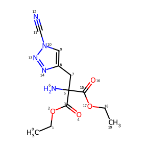 CCOC(=O)C(N)(Cc1cn(C#N)nn1)C(=O)OCC